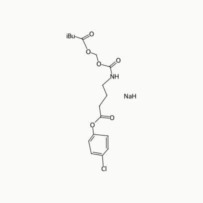 CCC(C)C(=O)OCOC(=O)NCCCC(=O)Oc1ccc(Cl)cc1.[NaH]